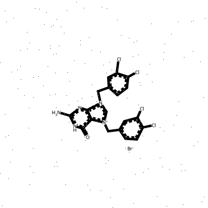 Nc1nc2c(c(=O)[nH]1)[n+](Cc1ccc(Cl)c(Cl)c1)cn2Cc1ccc(Cl)c(Cl)c1.[Br-]